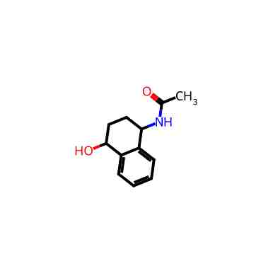 CC(=O)NC1CCC(O)c2ccccc21